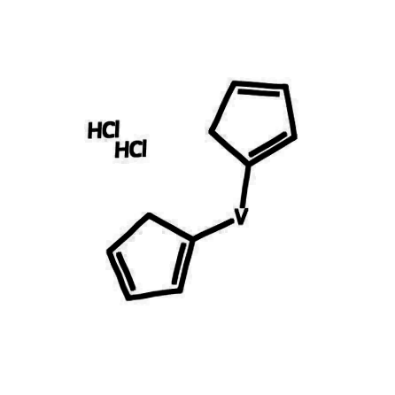 C1=CC[C]([V][C]2=CC=CC2)=C1.Cl.Cl